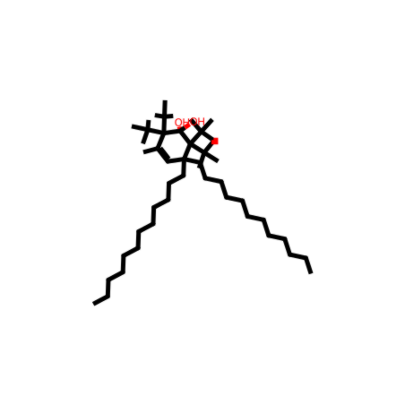 CCCCCCCCCCCCC1(CCCCCCCCCCCC)C=C(C)C(C(C)(C)C)(C(C)(C)C)C(O)(O)C1(C(C)(C)C)C(C)(C)C